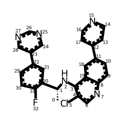 C[C@@H](Nc1c(Cl)cnc2ccc(-c3ccncc3)cc12)c1cc(-c2cncnc2)ccc1F